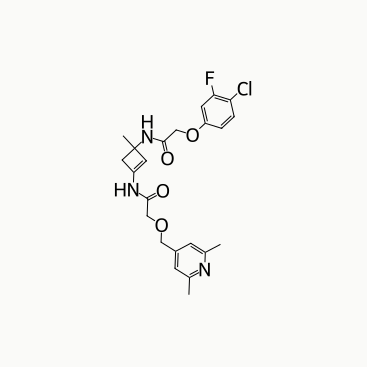 Cc1cc(COCC(=O)NC2=CC(C)(NC(=O)COc3ccc(Cl)c(F)c3)C2)cc(C)n1